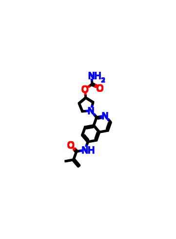 C=C(C)C(=O)Nc1ccc2c(N3CCC(OC(N)=O)C3)nccc2c1